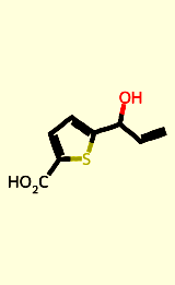 C=CC(O)c1ccc(C(=O)O)s1